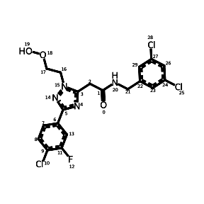 O=C(Cc1nc(-c2ccc(Cl)c(F)c2)nn1CCOO)NCc1cc(Cl)cc(Cl)c1